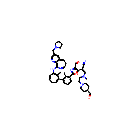 CC1=C(NC2=c3ncc(CN4CCCC4)cc3=CCC=N2)C=CCC=C1c1cccc(-c2nc(C=O)c(/C(C#N)=C\N(C)CCN3CCC(C=O)CC3)o2)c1C